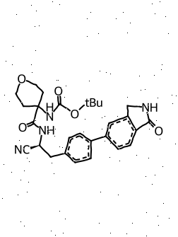 CC(C)(C)OC(=O)NC1(C(=O)N[C@H](C#N)Cc2ccc(-c3ccc4c(c3)CNC4=O)cc2)CCOCC1